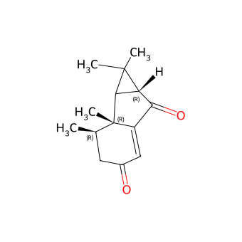 C[C@@H]1CC(=O)C=C2C(=O)[C@@H]3C(C3(C)C)[C@]21C